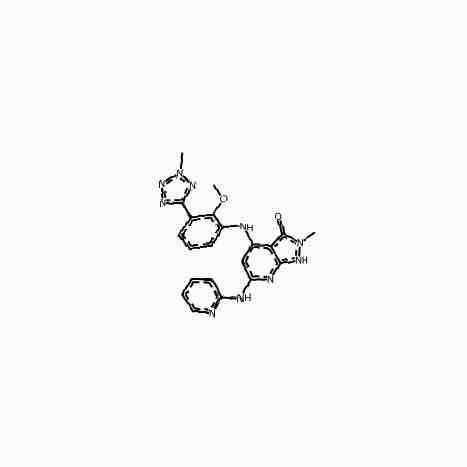 COc1c(Nc2cc(Nc3ccccn3)nc3[nH]n(C)c(=O)c23)cccc1-c1nnn(C)n1